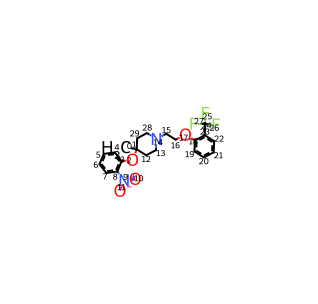 CC1(Oc2ccccc2[N+](=O)[O-])CCN(CCOc2ccccc2C(F)(F)F)CC1